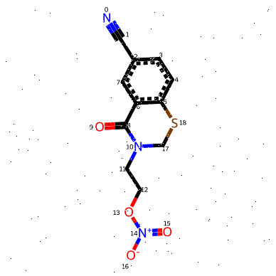 N#Cc1ccc2c(c1)C(=O)N(CCO[N+](=O)[O-])CS2